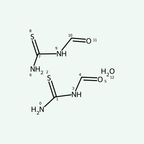 NC(=S)NC=O.NC(=S)NC=O.O